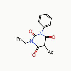 CC(=O)C1C(=O)N(CC(C)C)C(=O)N(c2ccccc2)C1=O